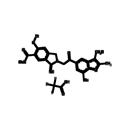 CCOc1cc2c(cc1C(=O)NC)C(=N)N(CC(=O)c1cc(C(C)(C)C)c3oc(C)c(C(=O)O)c3c1)C2.O=C(O)C(F)(F)F